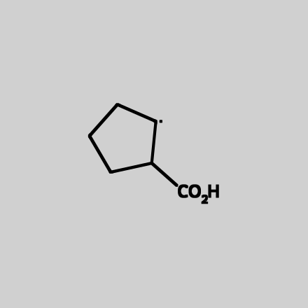 O=C(O)C1[CH]CCC1